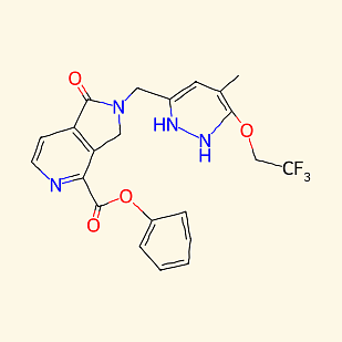 CC1=C(OCC(F)(F)F)NNC(CN2Cc3c(ccnc3C(=O)Oc3ccccc3)C2=O)=C1